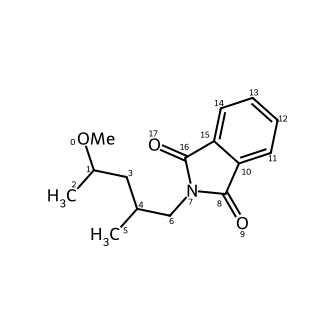 COC(C)CC(C)CN1C(=O)c2ccccc2C1=O